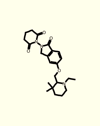 CCN1CCCC(C)(C)C1COc1ccc2c(c1)CN(N1C(=O)CCCC1=O)C2=O